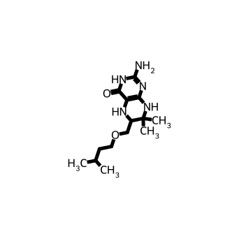 CC(C)CCOCC1Nc2c(nc(N)[nH]c2=O)NC1(C)C